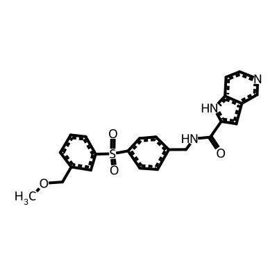 COCc1cccc(S(=O)(=O)c2ccc(CNC(=O)c3cc4cnccc4[nH]3)cc2)c1